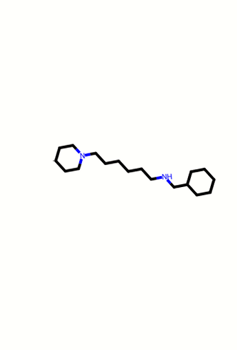 [CH]1CCN(CCCCCCNCC2CCCCC2)CC1